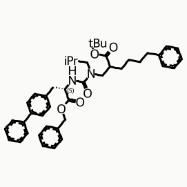 CC(C)CN(CC(CCCCc1ccccc1)C(=O)OC(C)(C)C)C(=O)N[C@@H](Cc1ccc(-c2ccccc2)cc1)C(=O)OCc1ccccc1